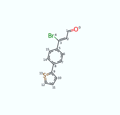 O=CC=C(Br)c1ccc(-c2cccs2)cc1